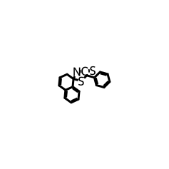 S=C=NC1(SCc2ccccc2)CC=Cc2ccccc21